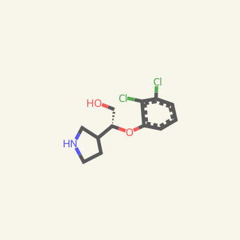 OC[C@H](Oc1cccc(Cl)c1Cl)C1CCNC1